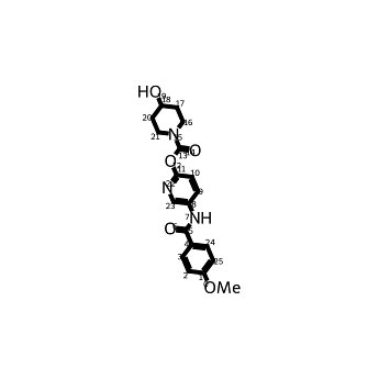 COc1ccc(C(=O)Nc2ccc(OC(=O)N3CCC(O)CC3)nc2)cc1